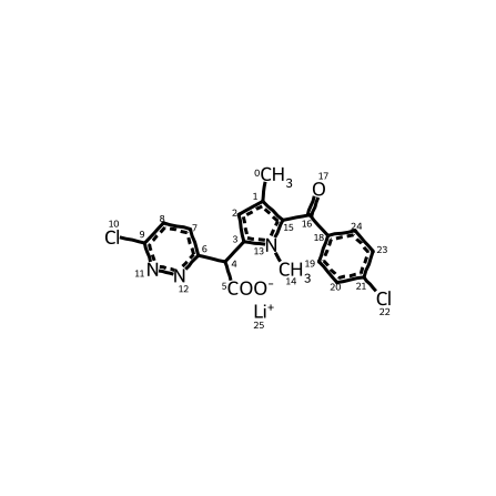 Cc1cc(C(C(=O)[O-])c2ccc(Cl)nn2)n(C)c1C(=O)c1ccc(Cl)cc1.[Li+]